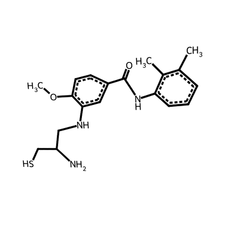 COc1ccc(C(=O)Nc2cccc(C)c2C)cc1NCC(N)CS